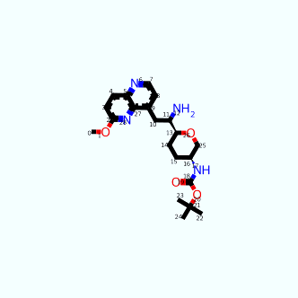 COc1ccc2nccc(CC(N)[C@@H]3CC[C@@H](NC(=O)OC(C)(C)C)CO3)c2n1